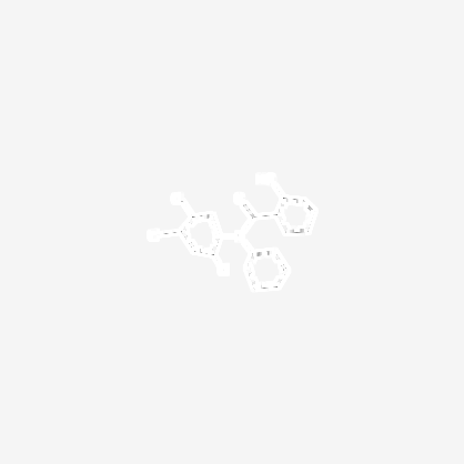 O=C(c1ccccc1O)N(c1ccccc1)c1cc(Cl)c(Cl)cc1Cl